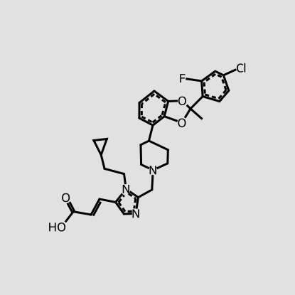 CC1(c2ccc(Cl)cc2F)Oc2cccc(C3CCN(Cc4ncc(/C=C/C(=O)O)n4CCC4CC4)CC3)c2O1